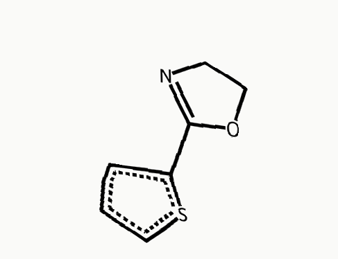 c1csc(C2=NCCO2)c1